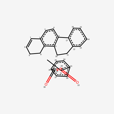 C1=Cc2ccc3c(c2CC1)CCc1ccccc1-3.O=c1oc(=O)c2ccc1cc2